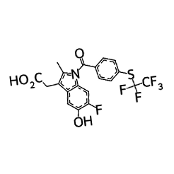 Cc1c(CC(=O)O)c2cc(O)c(F)cc2n1C(=O)c1ccc(SC(F)(F)C(F)(F)F)cc1